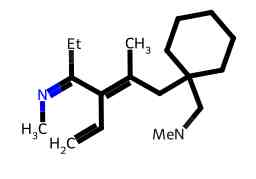 C=CC(/C(CC)=N\C)=C(/C)CC1(CNC)CCCCC1